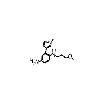 COCCCNc1ccc(N)cc1-c1ccn(C)c1